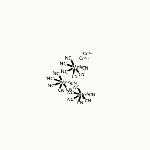 N#[C][Mn-2]([C]#N)([C]#N)([C]#N)([C]#N)[C]#N.N#[C][Mn-2]([C]#N)([C]#N)([C]#N)([C]#N)[C]#N.N#[C][Mn-2]([C]#N)([C]#N)([C]#N)([C]#N)[C]#N.[Cr+3].[Cr+3]